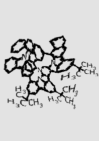 CC(C)(C)c1cc(-c2ccc3c(c2)c2ccccc2n3-c2ccccc2)c2c(c1)c1cc(C(C)(C)C)cc3c4c5c6cc(C(C)(C)C)cc7c8cc9ccccc9c(-c9ccc%10c(c9)c9ccccc9n%10-c9ccccc9)c8n(c5cnc4n2c13)c76